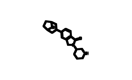 O=C1c2ccc(C3CC4CCC(C3)N4)cc2CN1C1CCCNC1